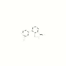 O=C1NCc2c1cccc2-c1ccnc(F)c1